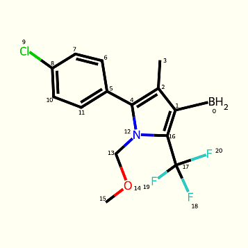 Bc1c(C)c(-c2ccc(Cl)cc2)n(COC)c1C(F)(F)F